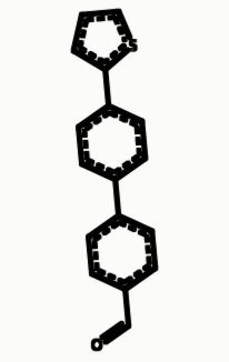 O=Cc1ccc(-c2ccc(-c3cccs3)cc2)cc1